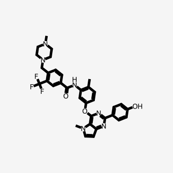 Cc1ccc(Oc2nc(-c3ccc(O)cc3)nc3ccn(C)c23)cc1NC(=O)c1ccc(CN2CCN(C)CC2)c(C(F)(F)F)c1